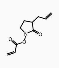 C=CCC1CCN(OC(=O)C=C)C1=O